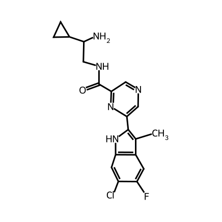 Cc1c(-c2cncc(C(=O)NCC(N)C3CC3)n2)[nH]c2cc(Cl)c(F)cc12